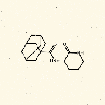 O=C1NCCC[C@@H]1NC(=O)C12CC3CC(CC(C3)C1)C2